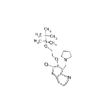 CC(C)(C)[Si](C)(C)OCCOc1c(Cl)nc2cccnc2c1CN1CCCC1